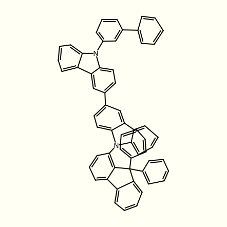 c1ccc(-c2cccc(-n3c4ccccc4c4cc(-c5ccc6c(c5)c5ccccc5n6-c5cccc6c5C(c5ccccc5)(c5ccccc5)c5ccccc5-6)ccc43)c2)cc1